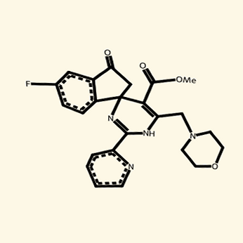 COC(=O)C1=C(CN2CCOCC2)NC(c2ccccn2)=NC12CC(=O)c1cc(F)ccc12